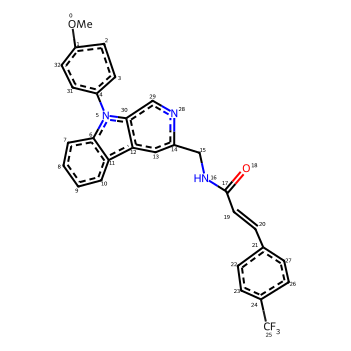 COc1ccc(-n2c3ccccc3c3cc(CNC(=O)/C=C/c4ccc(C(F)(F)F)cc4)ncc32)cc1